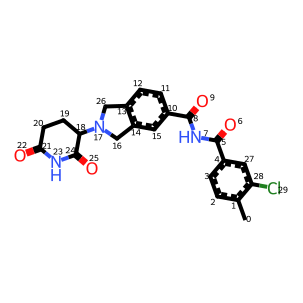 Cc1ccc(C(=O)NC(=O)c2ccc3c(c2)CN(C2CCC(=O)NC2=O)C3)cc1Cl